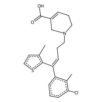 Cc1ccsc1C(=CCCN1CCC=C(C(=O)O)C1)c1cccc(Cl)c1C